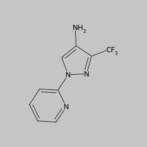 Nc1cn(-c2ccccn2)nc1C(F)(F)F